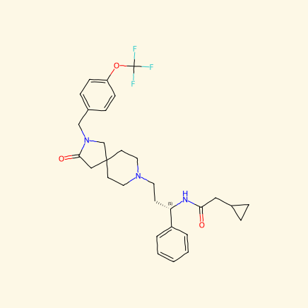 O=C(CC1CC1)N[C@@H](CCN1CCC2(CC1)CC(=O)N(Cc1ccc(OC(F)(F)F)cc1)C2)c1ccccc1